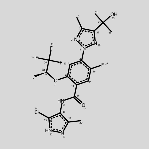 Cc1nn(-c2cc(O[C@@H](C)C(F)(F)F)c(C(=O)Nc3c(C)n[nH]c3Cl)cc2F)nc1C(C)(C)O